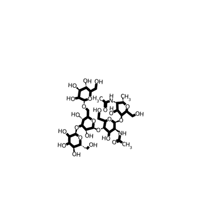 CC(=O)N[C@H]1C(O)[C@H](O[C@@H]2OC(CO[C@H]3OC(CO)[C@@H](O)[C@H](O)C3O)[C@@H](O)C(O[C@H]3O[C@H](CO)[C@@H](O)C(O)C3O)[C@H]2O)C(CO)O[C@H]1O[C@@H]1C(CO)O[C@@H](C)[C@@H](NC(C)=O)C1O